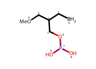 BCC(COC)COP(O)O